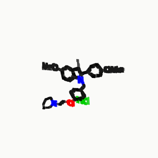 COc1ccc(-c2c(C)c3cc(OC)ccc3n2Cc2ccc(OCCN3CCCCC3)cc2)cc1.Cl